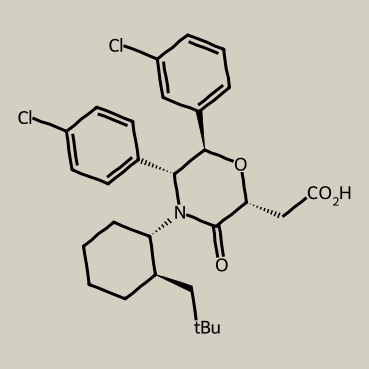 CC(C)(C)C[C@H]1CCCC[C@@H]1N1C(=O)[C@@H](CC(=O)O)O[C@H](c2cccc(Cl)c2)[C@H]1c1ccc(Cl)cc1